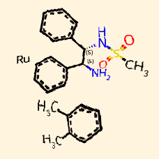 CS(=O)(=O)N[C@@H](c1ccccc1)[C@@H](N)c1ccccc1.Cc1ccccc1C.[Ru]